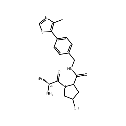 Cc1ncsc1-c1ccc(CNC(=O)C2CC(O)CN2C(=O)[C@@H](N)C(C)C)cc1